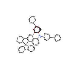 c1ccc(-c2ccc(N(c3ccc(-c4ccccc4)cc3)c3cccc4c5c(cc(-c6ccccc6)c34)-c3ccccc3C5(c3ccccc3)c3ccccc3)cc2)cc1